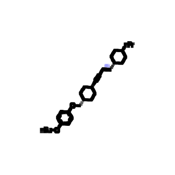 CCCCOc1ccc(OC[C@H]2CC[C@H](C#C/C=C/[C@H]3CC[C@H](CCC)CC3)CC2)cc1